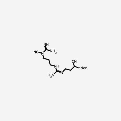 CCCCCCCCCC(C#N)CCN=C(N)NCCCN(C#N)C(=N)N